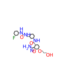 Nc1noc2c(OCCCO)ccc(C(=O)Nc3cccc(CNC(=O)Nc4cccc(F)c4)c3)c12